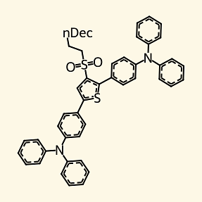 CCCCCCCCCCCCS(=O)(=O)c1cc(-c2ccc(N(c3ccccc3)c3ccccc3)cc2)sc1-c1ccc(N(c2ccccc2)c2ccccc2)cc1